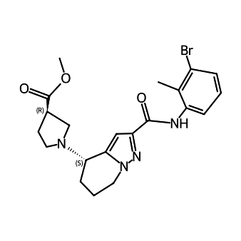 COC(=O)[C@@H]1CCN([C@H]2CCCn3nc(C(=O)Nc4cccc(Br)c4C)cc32)C1